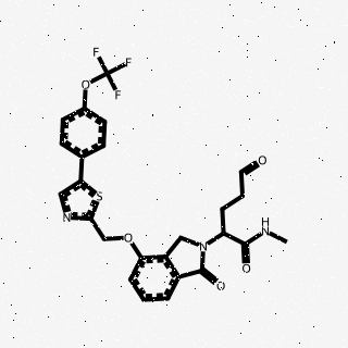 CNC(=O)C(CCC=O)N1Cc2c(OCc3ncc(-c4ccc(OC(F)(F)F)cc4)s3)cccc2C1=O